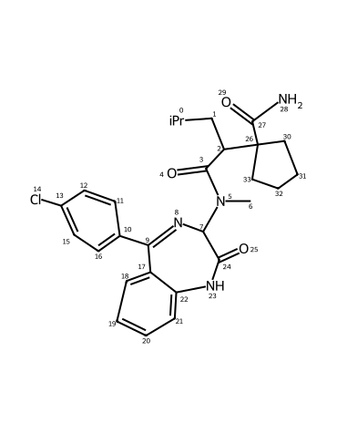 CC(C)CC(C(=O)N(C)C1N=C(c2ccc(Cl)cc2)c2ccccc2NC1=O)C1(C(N)=O)CCCC1